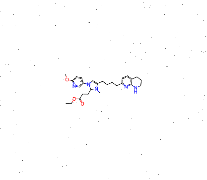 CCOC(=O)CCC1N(C)C(CCCCc2ccc3c(n2)NCCC3)=CN1c1ccc(OC)nc1